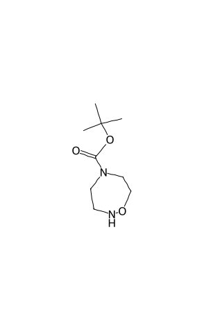 CC(C)(C)OC(=O)N1CCNOCC1